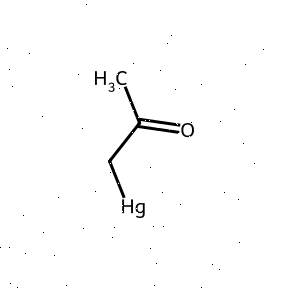 CC(=O)[CH2][Hg]